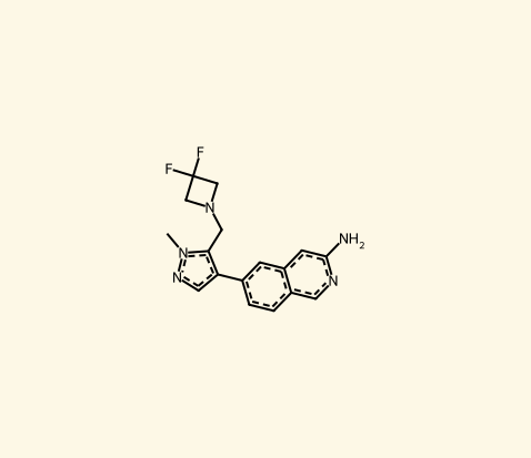 Cn1ncc(-c2ccc3cnc(N)cc3c2)c1CN1CC(F)(F)C1